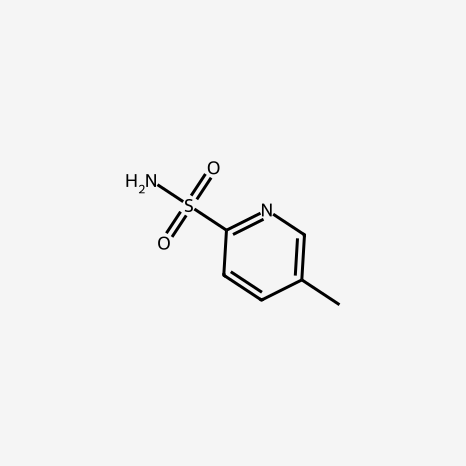 Cc1ccc(S(N)(=O)=O)nc1